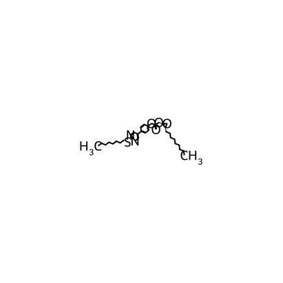 CCCCCCCCC[C@@H]1O[C@@H]1OC(=O)Oc1ccc(-c2cnc(SCCCCCCCC)nc2)cc1